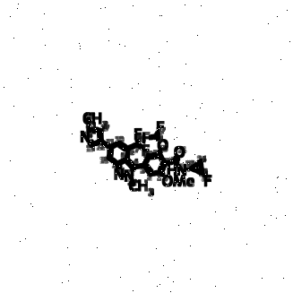 COc1cc(-c2c3c(C(F)F)cc(-c4cnn(C)c4)cc3nn2C)cc(OC(F)F)c1C(=O)N[C@@H]1C[C@@H]1F